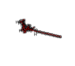 CCCCCN[C@@H](CCCCNC(=O)CCOCCOCCOCCOCCOCCOCCOCCOCCOCCOCCOCCOC)C(=O)NCCC(=O)Nc1cc(C[N+]2(C)CCCC[C@@H]2C(=O)N[C@H](C(=O)N(C)[C@H](C[C@@H](OC(C)=O)c2nc(C(=O)N[C@@H](Cc3ccccc3)C[C@H](C)C(=O)O)cs2)C(C)C)[C@@H](C)CC)ccc1O[C@@H]1O[C@H](C(=O)O)C[C@H](O)[C@H]1O